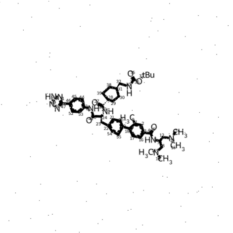 Cc1cc(C(=O)NC(CN(C)C)CN(C)C)ccc1-c1ccc(C[C@H](NC(=O)[C@H]2CC[C@H](CNC(=O)OC(C)(C)C)CC2)C(=O)Nc2ccc(-c3nn[nH]n3)cc2)cc1